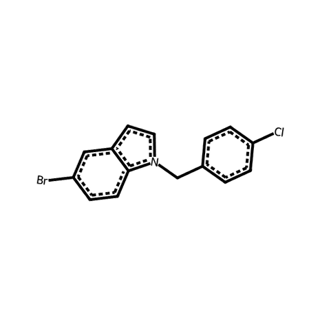 Clc1ccc(Cn2ccc3cc(Br)ccc32)cc1